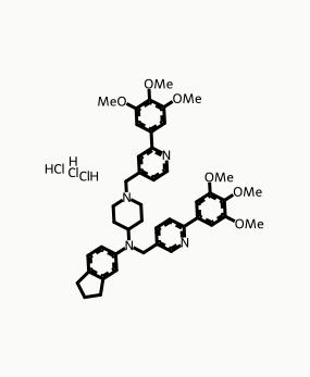 COc1cc(-c2ccc(CN(c3ccc4c(c3)CCC4)C3CCN(Cc4ccnc(-c5cc(OC)c(OC)c(OC)c5)c4)CC3)cn2)cc(OC)c1OC.Cl.Cl.Cl